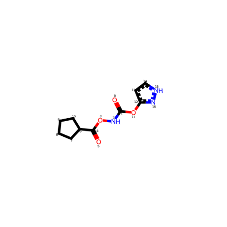 O=C(NOC(=O)C1CCCC1)Oc1cc[nH]n1